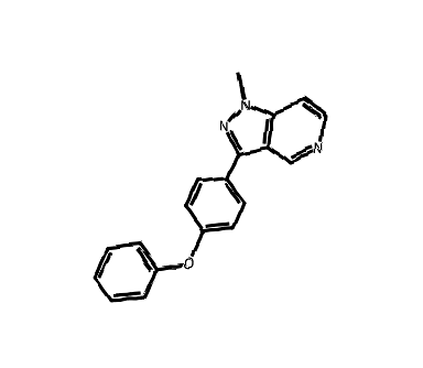 Cn1nc(-c2ccc(Oc3ccccc3)cc2)c2cnccc21